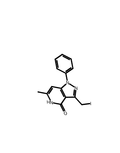 Cc1cc2c(c(CI)nn2-c2ccccc2)c(=O)[nH]1